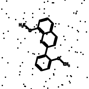 COc1ccccc1-c1ccc2cccc(OC)c2n1